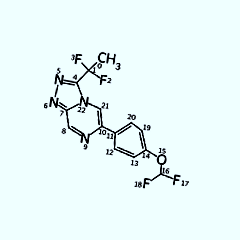 CC(F)(F)c1nnc2cnc(-c3ccc(OC(F)F)cc3)cn12